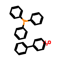 O.c1ccc(-c2ccccc2)cc1.c1ccc(P(c2ccccc2)c2ccccc2)cc1